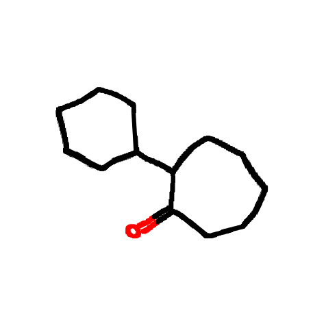 O=C1CCCCCC1C1CCCCC1